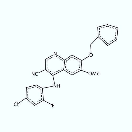 COc1cc2c(Nc3ccc(Cl)cc3F)c(C#N)cnc2cc1OCc1ccccc1